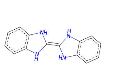 c1ccc2c(c1)NC(=C1Nc3ccccc3N1)N2